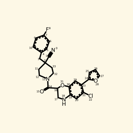 N#CC1(Cc2ccc(F)cc2)CCN(C(=O)C2CNc3cc(Cl)c(-c4ccco4)cc3O2)CC1